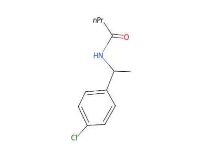 CCCC(=O)NC(C)c1ccc(Cl)cc1